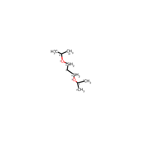 CC(C)O[SiH2]C[SiH2]OC(C)C